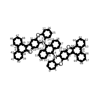 c1ccc2c(c1)Oc1cc3c(cc1N2c1c2ccccc2c(N2c4ccccc4Oc4cc5c(cc42)oc2c4ccccc4c4ccccc4c52)c2ccccc12)oc1c2ccccc2c2ccccc2c31